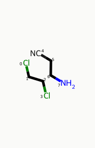 ClCCCl.N#CCCN